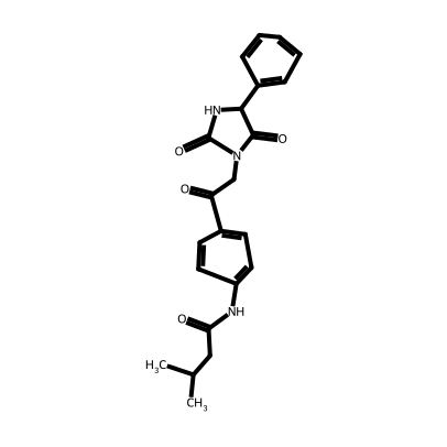 CC(C)CC(=O)Nc1ccc(C(=O)CN2C(=O)NC(c3ccccc3)C2=O)cc1